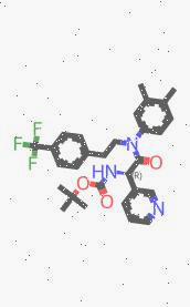 Cc1ccc(N(CCc2ccc(C(F)(F)F)cc2)C(=O)[C@H](NC(=O)OC(C)(C)C)c2cccnc2)cc1C